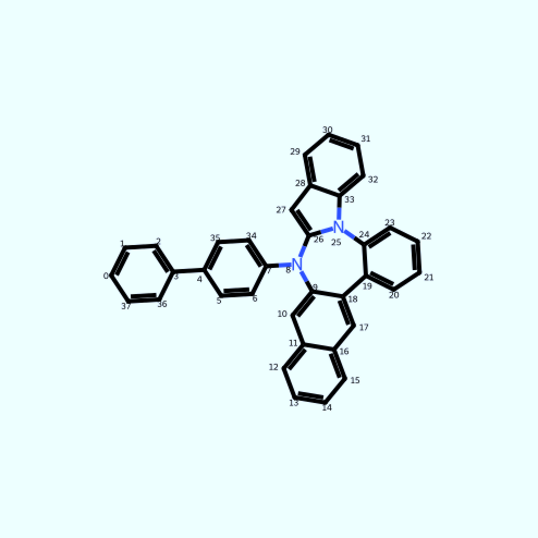 c1ccc(-c2ccc(N3c4cc5ccccc5cc4-c4ccccc4-n4c3cc3ccccc34)cc2)cc1